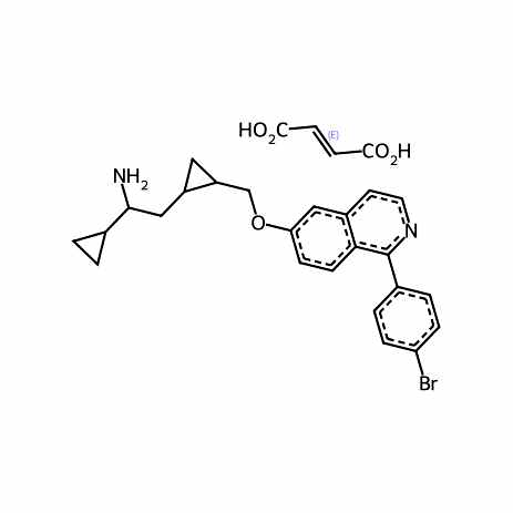 NC(CC1CC1COc1ccc2c(-c3ccc(Br)cc3)nccc2c1)C1CC1.O=C(O)/C=C/C(=O)O